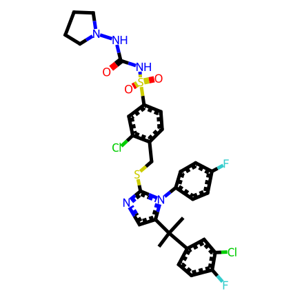 CC(C)(c1ccc(F)c(Cl)c1)c1cnc(SCc2ccc(S(=O)(=O)NC(=O)NN3CCCC3)cc2Cl)n1-c1ccc(F)cc1